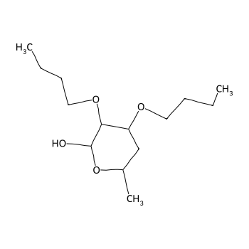 CCCCOC1CC(C)OC(O)C1OCCCC